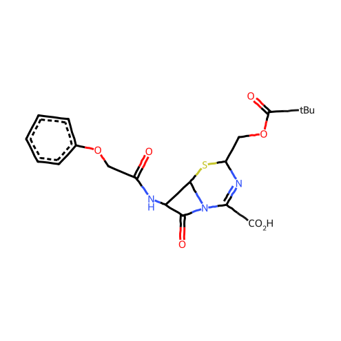 CC(C)(C)C(=O)OCC1N=C(C(=O)O)N2C(=O)C(NC(=O)COc3ccccc3)C2S1